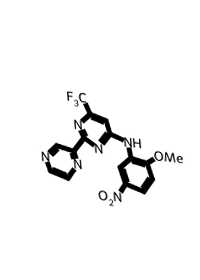 COc1ccc([N+](=O)[O-])cc1Nc1cc(C(F)(F)F)nc(-c2cnccn2)n1